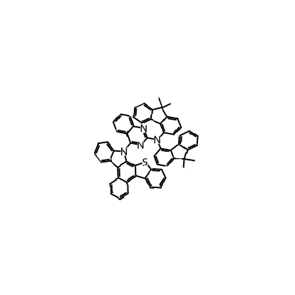 CC1(C)c2ccccc2-c2c(N(c3nc(-n4c5ccccc5c5c6ccccc6c6c7ccccc7sc6c54)c4ccccc4n3)c3cccc4c3-c3ccccc3C4(C)C)cccc21